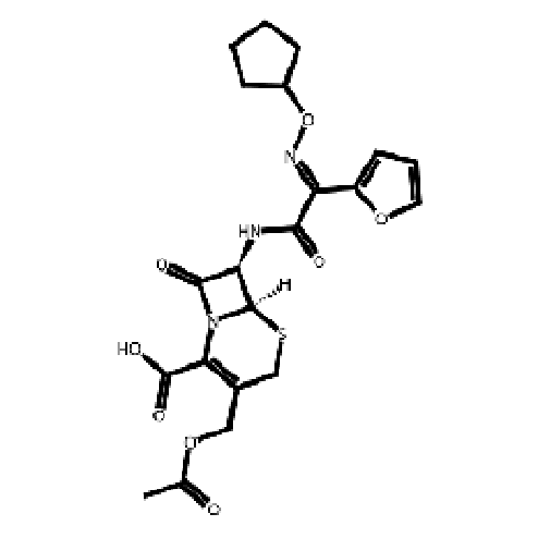 CC(=O)OCC1=C(C(=O)O)N2C(=O)[C@@H](NC(=O)C(=NOC3CCCC3)c3ccco3)[C@H]2SC1